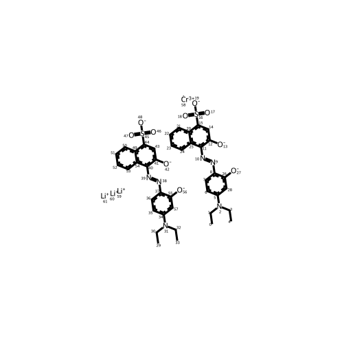 CCN(CC)c1ccc(N=Nc2c([O-])cc(S(=O)(=O)[O-])c3ccccc23)c([O-])c1.CCN(CC)c1ccc(N=Nc2c([O-])cc(S(=O)(=O)[O-])c3ccccc23)c([O-])c1.[Cr+3].[Li+].[Li+].[Li+]